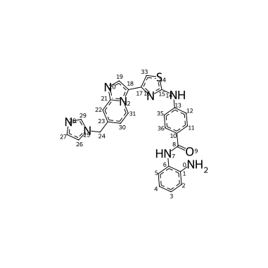 Nc1ccccc1NC(=O)c1ccc(Nc2nc(-c3cnc4cc(Cn5ccnc5)ccn34)cs2)cc1